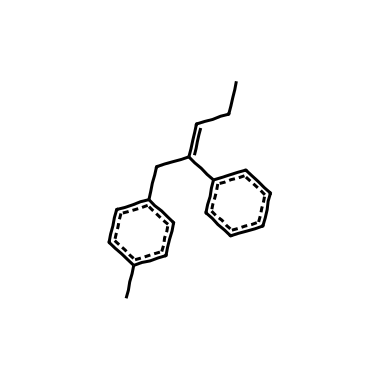 CCC=C(Cc1ccc(C)cc1)c1ccccc1